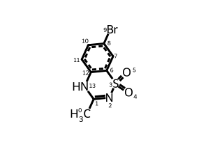 CC1=NS(=O)(=O)c2cc(Br)ccc2N1